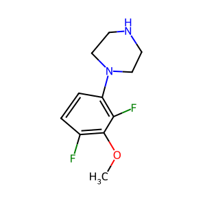 COc1c(F)ccc(N2CCNCC2)c1F